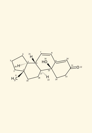 C[C@@]12CCC[C@H]1[C@@H]1C=CC3=CC(=O)CC[C@]3(O)[C@H]1CC2